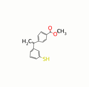 C=C(c1ccc(C(=O)OC)cc1)c1cccc(S)c1